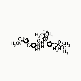 CNC(=O)c1cc(Oc2ccc(NC(=O)Nc3cc(C(C)(C)C)nn3-c3cccc(COC(=O)[C@@H](N)C(C)C)c3)c(F)c2)ccn1